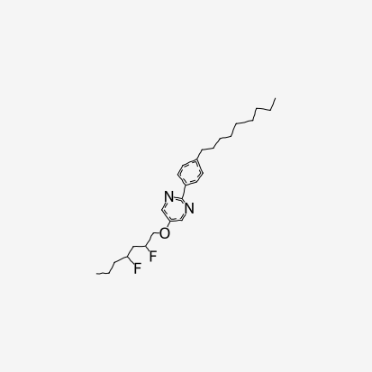 CCCCCCCCCc1ccc(-c2ncc(OCC(F)CC(F)CCC)cn2)cc1